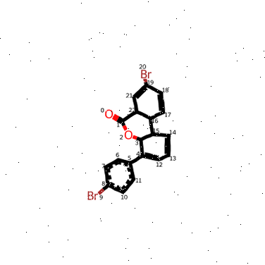 O=C1OC2C(c3ccc(Br)cc3)=CC=CC2C2C=CC(Br)=CC12